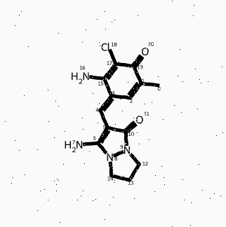 CC1=C/C(=C\c2c(N)n3n(c2=O)CCC3)C(N)=C(Cl)C1=O